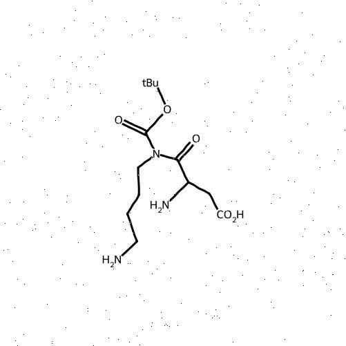 CC(C)(C)OC(=O)N(CCCCN)C(=O)C(N)CC(=O)O